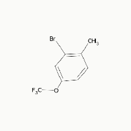 Cc1ccc(OC(F)(F)F)cc1Br